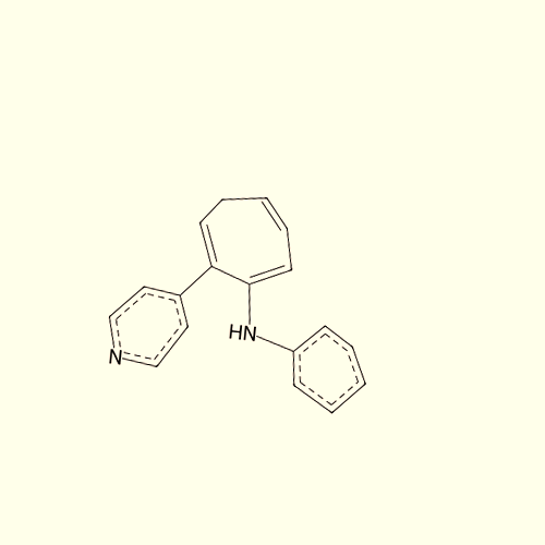 C1=CCC=C(c2ccncc2)C(Nc2ccccc2)=C1